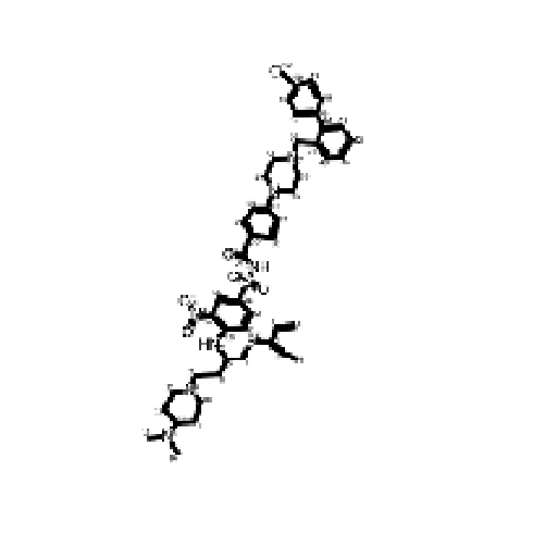 C=C/C(=C\C)SC[C@@H](CCN1CCC(N(C)C)CC1)Nc1ccc(S(=O)(=O)NC(=O)c2ccc(N3CCN(Cc4ccccc4-c4ccc(Cl)cc4)CC3)cc2)cc1[N+](=O)[O-]